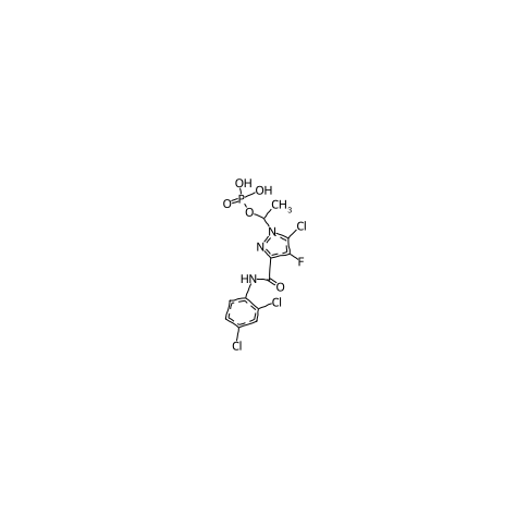 CC(OP(=O)(O)O)n1nc(C(=O)Nc2ccc(Cl)cc2Cl)c(F)c1Cl